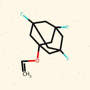 C=COC12CC3(F)CC(F)(CC(F)(C3)C1)C2